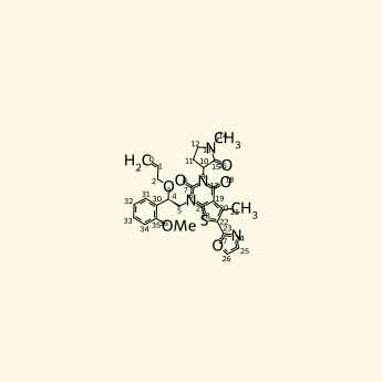 C=CCO[C@@H](Cn1c(=O)n(C2CCN(C)C2=O)c(=O)c2c(C)c(-c3ncco3)sc21)c1ccccc1OC